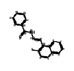 Cc1ccc2ccccc2c1/C=N/NC(=O)c1ccccc1